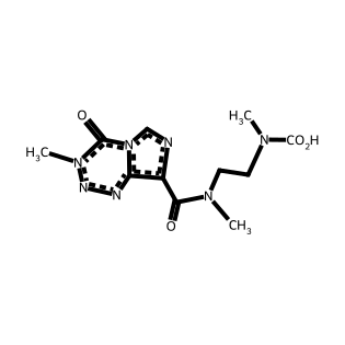 CN(CCN(C)C(=O)c1ncn2c(=O)n(C)nnc12)C(=O)O